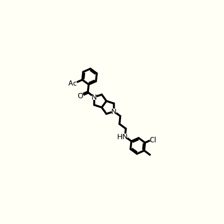 CC(=O)c1ccccc1C(=O)N1CC2CN(CCCNc3ccc(C)c(Cl)c3)CC2C1